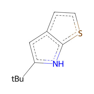 CC(C)(C)c1cc2ccsc2[nH]1